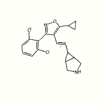 Clc1cccc(Cl)c1-c1noc(C2CC2)c1/C=C/C1C2CNCC12